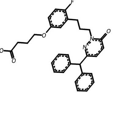 O=C(O)CCCOc1ccc(F)c(CCCn2nc(C(c3ccccc3)c3ccccc3)ccc2=O)c1